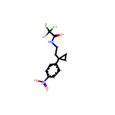 O=C(NCCC1(c2ccc([N+](=O)[O-])cc2)CC1)C(F)(F)F